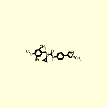 CCOc1cc(C)c(CN(C(=O)Nc2ccc(-c3cnn(C)c3)cc2)C2CC2)cc1C(C)C